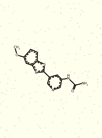 COc1ccc2sc(-c3cncc(NC(N)=O)c3)nc2c1